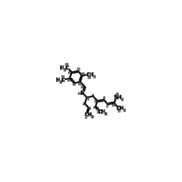 C=CCC(C/C(C=C)=C/C=C(/C)N)/N=C/c1cc(C)c(C)cc1C